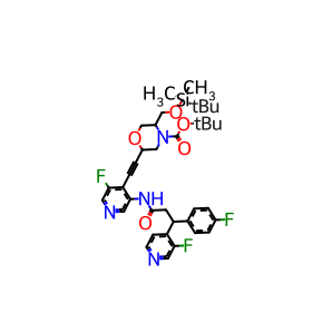 CC(C)(C)OC(=O)N1CC(C#Cc2c(F)cncc2NC(=O)CC(c2ccc(F)cc2)c2ccncc2F)OCC1CO[Si](C)(C)C(C)(C)C